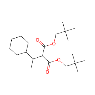 CC(C1CCCCC1)C(C(=O)OCC(C)(C)C)C(=O)OCC(C)(C)C